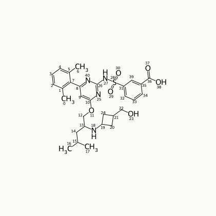 Cc1cccc(C)c1-c1cc(OCC(CC(C)C)NC2CC(CO)C2)nc(NS(=O)(=O)c2cccc(C(=O)O)c2)n1